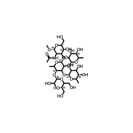 CO[C@@H]1OC(CO)[C@@H](O)C(O[C@@H]2OC(C)[C@H](O[C@@H](OC(CO)[C@@H](O)CO)C(C)O)C(O[C@@H]3OC(C)[C@H](O)C(O)C3O[C@@H]3OC(C)[C@H](O)C(O)C3O)C2O)C1NC(C)=O